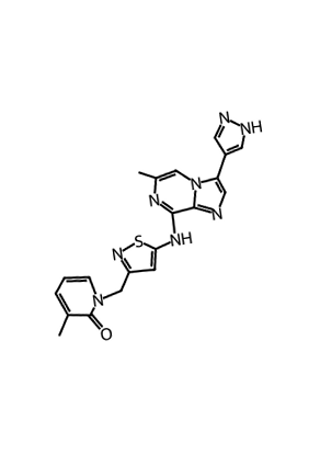 Cc1cn2c(-c3cn[nH]c3)cnc2c(Nc2cc(Cn3cccc(C)c3=O)ns2)n1